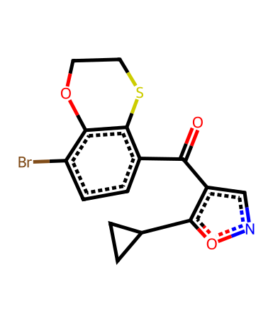 O=C(c1cnoc1C1CC1)c1ccc(Br)c2c1SCCO2